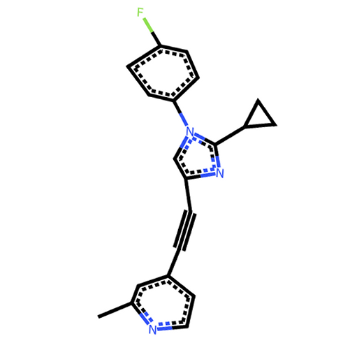 Cc1cc(C#Cc2cn(-c3ccc(F)cc3)c(C3CC3)n2)ccn1